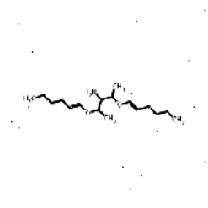 CCCCC=COC(C)C(N)C(C)OC=CCCCC